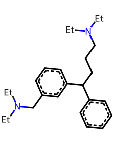 CCN(CC)CCCC(c1ccccc1)c1cccc(CN(CC)CC)c1